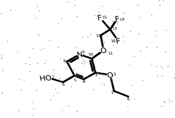 CCOc1cc(CO)cnc1OCC(F)(F)F